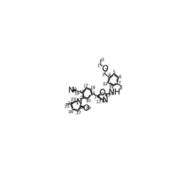 CCOCc1ccc(C)c(Nc2ncc(-c3ccc(C#N)c(-n4cc(C)ccc4=O)c3)o2)c1